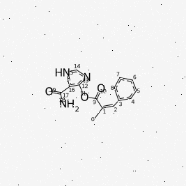 CC(=Cc1ccccc1)C(=O)Oc1nc[nH]c1C(N)=O